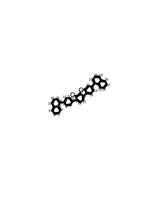 c1ccc2c(-c3ccc4c(c3)oc3c4ccc4c5ccc(-c6cccc7ccccc67)cc5oc43)cccc2c1